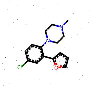 CN1CCN(c2ccc(Cl)cc2-c2cc[c]o2)CC1